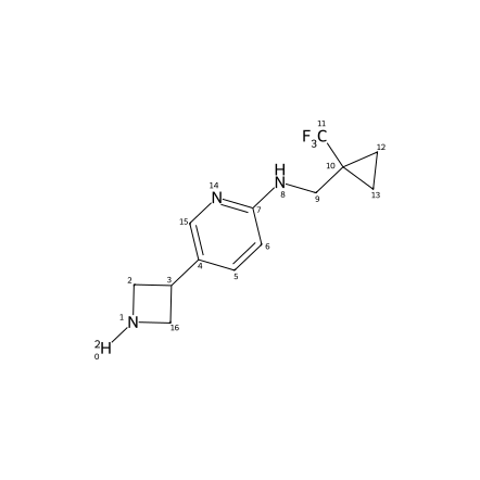 [2H]N1CC(c2ccc(NCC3(C(F)(F)F)CC3)nc2)C1